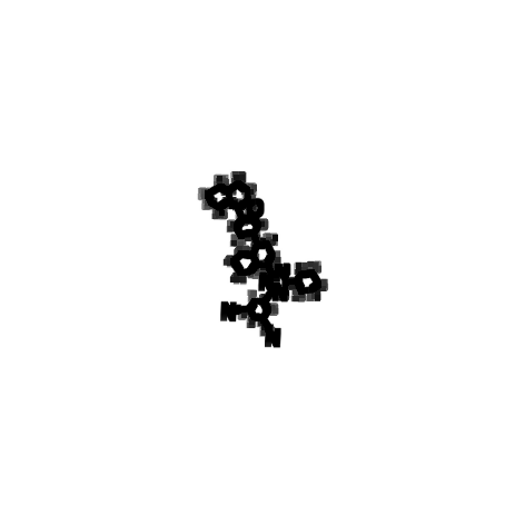 N#Cc1cc(C#N)cc(-c2nc(-c3ccccc3)nc(-c3ccc(-c4ccc5c(c4)oc4ccc6ccccc6c45)c4ccccc34)n2)c1